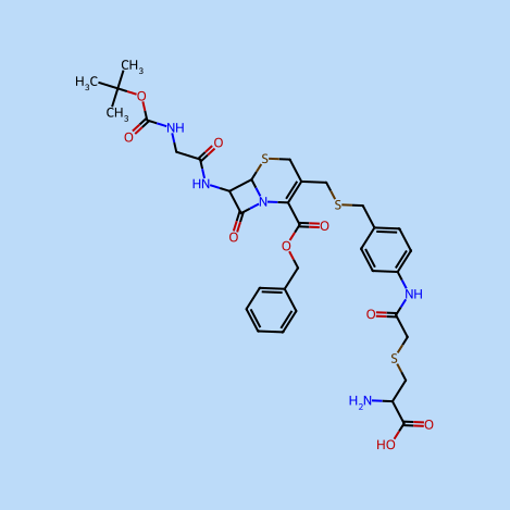 CC(C)(C)OC(=O)NCC(=O)NC1C(=O)N2C(C(=O)OCc3ccccc3)=C(CSCc3ccc(NC(=O)CSCC(N)C(=O)O)cc3)CSC12